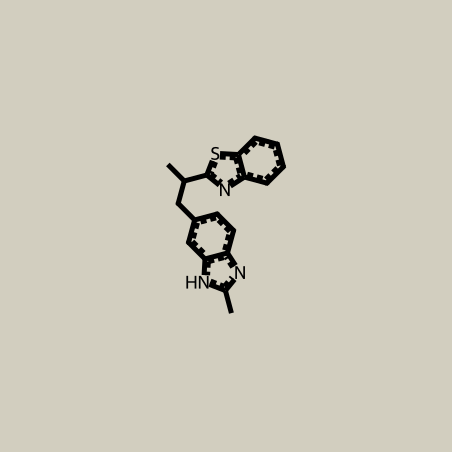 Cc1nc2ccc(CC(C)c3nc4ccccc4s3)cc2[nH]1